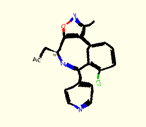 CC(=O)C[C@@H]1N=C(c2ccncc2)c2c(Cl)cccc2-c2c(C)noc21